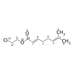 CC(C)=CCCC=CC(=O)OCCCl